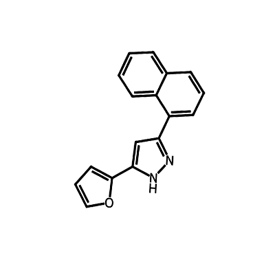 c1coc(-c2cc(-c3cccc4ccccc34)n[nH]2)c1